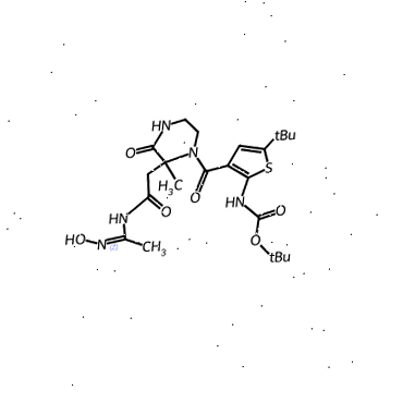 C/C(=N/O)NC(=O)CC1(C)C(=O)NCCN1C(=O)c1cc(C(C)(C)C)sc1NC(=O)OC(C)(C)C